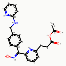 O=C(CCc1cccc(C(=NO)c2ccc(CNc3ccccn3)cc2)n1)OC(=O)C(F)(F)F